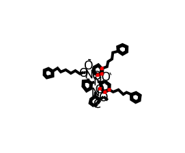 COc1ccccc1N(OCCCCCCc1ccccc1)c1cccc(N(OCCCCCCc2ccccc2)c2ccccc2OC)c1N(OCCCCCCc1ccccc1)c1ccccc1OC